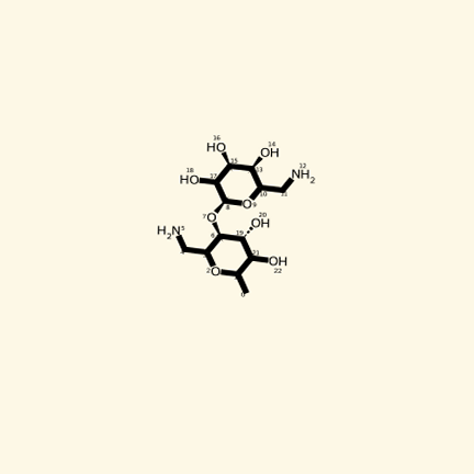 CC1OC(CN)[C@@H](O[C@@H]2OC(CN)[C@H](O)[C@H](O)C2O)[C@H](O)C1O